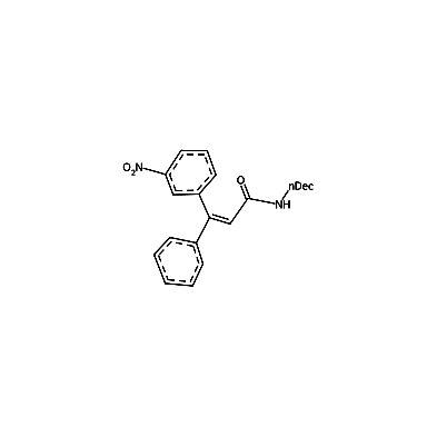 CCCCCCCCCCNC(=O)/C=C(/c1ccccc1)c1cccc([N+](=O)[O-])c1